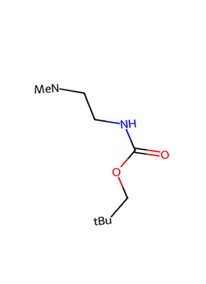 CNCCNC(=O)OCC(C)(C)C